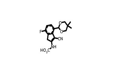 CC1(C)COC(c2ccc(F)c3c2C(C#N)=C(NC(=O)O)C3)OC1